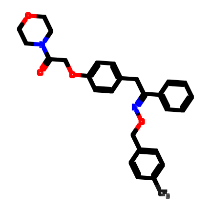 O=C(COc1ccc(CC(=NOCc2ccc(C(F)(F)F)cc2)c2ccccc2)cc1)N1CCOCC1